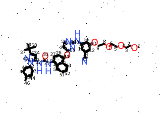 COCCOCCOCCOc1cc(C#N)cc(Nc2nccc(Oc3ccc(NC(=O)Nc4cc(C(C)(C)C)nn4-c4ccc(C)cc4)c4ccccc34)n2)c1